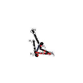 COCCOCCOCCOCC[N+]1=C(/C=C/C=C/C=C/C=C2/N(CCOCCOCCOCCOCCC(=O)O)c3ccccc3C2(C)CCOCCOCCOCCOC)C(C)(CCOCCOCCOCCOC)c2ccccc21